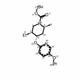 CC[C@H]1CN(C(=O)OC(C)(C)C)[C@@H](C)C[C@@H]1Oc1ccc(OC(C)C)cn1